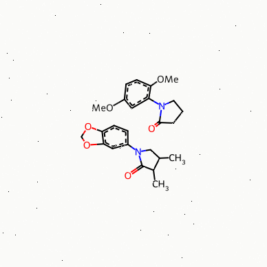 CC1CN(c2ccc3c(c2)OCO3)C(=O)C1C.COc1ccc(OC)c(N2CCCC2=O)c1